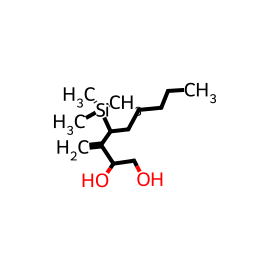 C=C(C(O)CO)C(CCCCC)[Si](C)(C)C